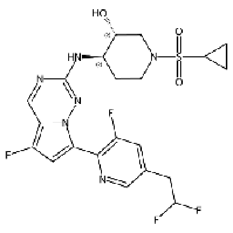 O=S(=O)(C1CC1)N1CC[C@@H](Nc2ncc3c(F)cc(-c4ncc(CC(F)F)cc4F)n3n2)[C@H](O)C1